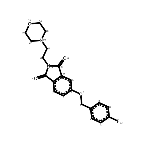 O=C1c2ccc(OCc3ccc(F)cc3)cc2C(=O)N1CCN1CCOCC1